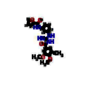 COc1cc(C(=O)NC(=N)Nc2cccc(NC(=O)c3ccco3)c2)cc(C)c1OC